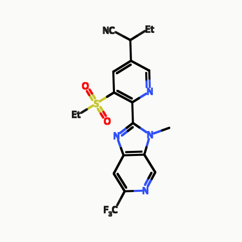 CCC(C#N)c1cnc(-c2nc3cc(C(F)(F)F)ncc3n2C)c(S(=O)(=O)CC)c1